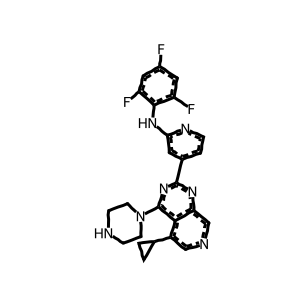 Fc1cc(F)c(Nc2cc(-c3nc(N4CCNCC4)c4c(C5CC5)cncc4n3)ccn2)c(F)c1